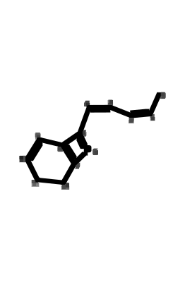 C/C=C\C=C/C1=PC2=C1C=CCC2